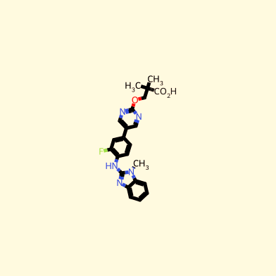 Cn1c(Nc2ccc(-c3cnc(OCC(C)(C)C(=O)O)nc3)cc2F)nc2ccccc21